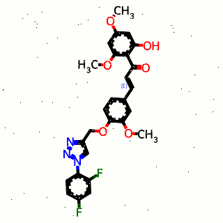 COc1cc(O)c(C(=O)/C=C/c2ccc(OCc3cn(-c4ccc(F)cc4F)nn3)c(OC)c2)c(OC)c1